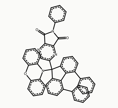 O=C1c2ncc(C3(N4c5ccccc5Oc5ccccc54)c4cccc(-c5ccccc5)c4-c4c(-c5ccccc5)cccc43)nc2C(=O)N1c1ccccc1